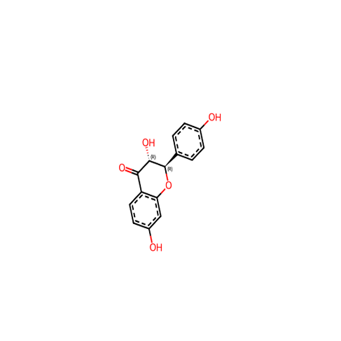 O=C1c2ccc(O)cc2O[C@H](c2ccc(O)cc2)[C@H]1O